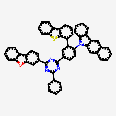 c1ccc(-c2nc(-c3ccc(-n4c5ccccc5c5cc6ccccc6cc54)c(-c4cccc5c4sc4ccccc45)c3)nc(-c3ccc4c(c3)oc3ccccc34)n2)cc1